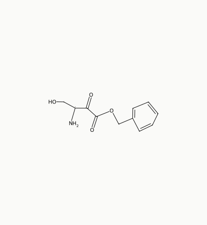 N[C](CO)C(=O)C(=O)OCc1ccccc1